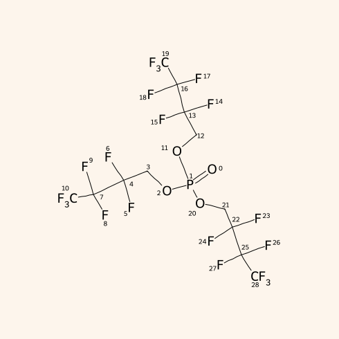 O=P(OCC(F)(F)C(F)(F)C(F)(F)F)(OCC(F)(F)C(F)(F)C(F)(F)F)OCC(F)(F)C(F)(F)C(F)(F)F